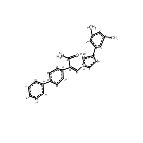 Cc1cc(C)cc(-c2ncn(C=C(C(N)=O)c3ccc(-c4cccnc4)cc3)n2)c1